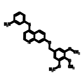 COc1cc(COc2ccc3c(Sc4cccc(N)c4)ccnc3c2)cc(OC)c1OC